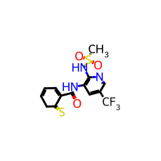 CS(=O)(=O)Nc1ncc(C(F)(F)F)cc1NC(=O)C1=CC=CCC1=S